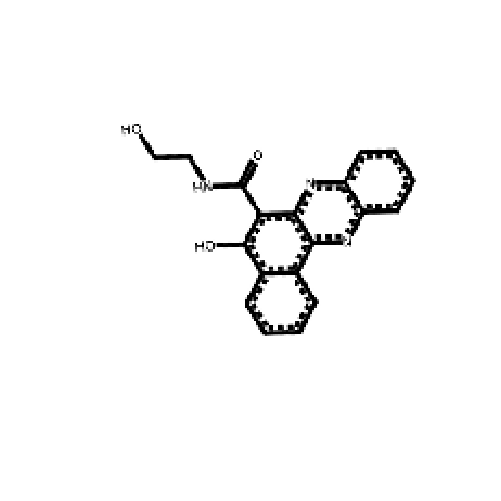 O=C(NCCO)c1c(O)c2ccccc2c2nc3ccccc3nc12